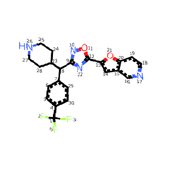 FC(F)(F)c1ccc(C(c2noc(-c3cc4cnccc4o3)n2)C2CCNCC2)cc1